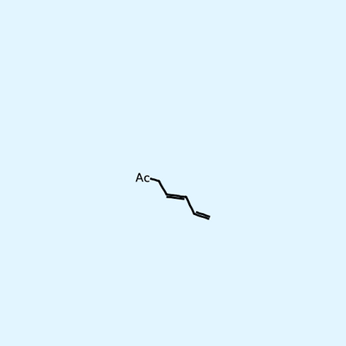 C=CC=CCC(C)=O